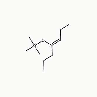 CC/C=C(/CCC)O[Si](C)(C)C